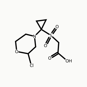 O=C(O)CS(=O)(=O)C1(N2CCOC(Cl)C2)CC1